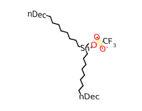 CCCCCCCCCCCCCCCCC[CH2][Sn+]([CH3])[CH2]CCCCCCCCCCCCCCCCC.O=S(=O)([O-])C(F)(F)F